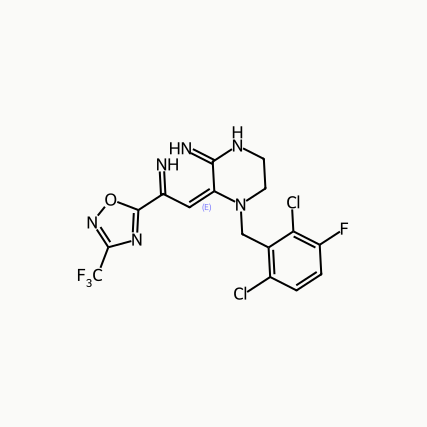 N=C1NCCN(Cc2c(Cl)ccc(F)c2Cl)/C1=C/C(=N)c1nc(C(F)(F)F)no1